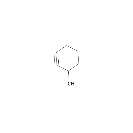 CC1C#CCCC1